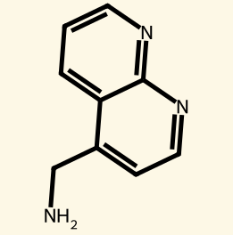 NCc1ccnc2ncccc12